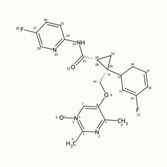 Cc1nc(C)[n+]([O-])cc1OC[C@@]1(C2C=C(F)C=CC2)C[C@H]1C(=O)Nc1ccc(F)cn1